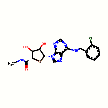 CNC(=O)[C@H]1S[C@@H](n2cnc3c(NCc4ccccc4Cl)ncnc32)C(O)C1O